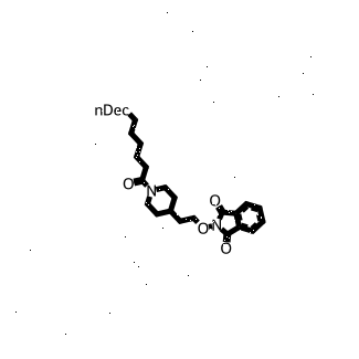 CCCCCCCCCCCCCCCC(=O)N1CCC(CCON2C(=O)c3ccccc3C2=O)CC1